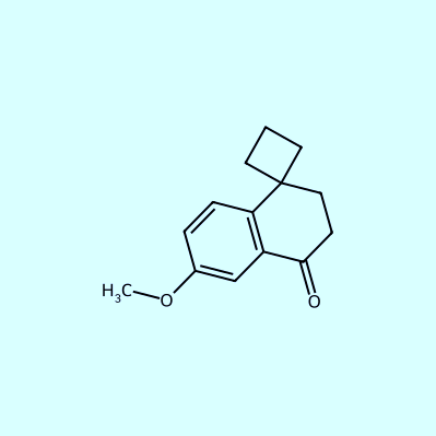 COc1ccc2c(c1)C(=O)CCC21CCC1